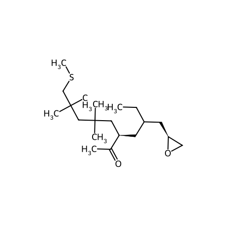 CCC(C[C@H]1CO1)C[C@H](CC(C)(C)CC(C)(C)CSC)C(C)=O